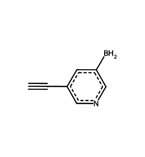 Bc1cncc(C#C)c1